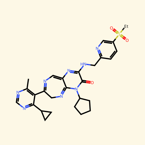 CCS(=O)(=O)c1ccc(CNc2nc3c(n(C4CCCC4)c2=O)=NCC(c2c(C)ncnc2C2CC2)=NC=3)nc1